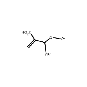 C=C(C(=O)O)C(CCC)OCCC